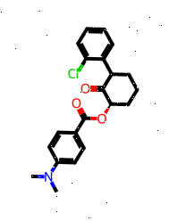 CN(C)c1ccc(C(=O)O[C@@H]2CCCC(c3ccccc3Cl)C2=O)cc1